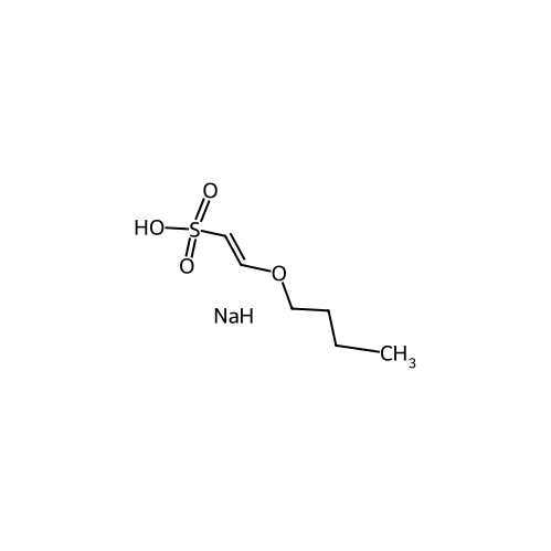 CCCCOC=CS(=O)(=O)O.[NaH]